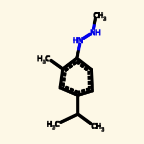 CNNc1ccc(C(C)C)cc1C